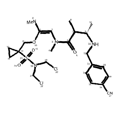 CN/C(=C/N(C)C(=O)C(C)[C@H](C)NCc1ccc(C#N)cc1)OCC1(S(=O)(=O)N(CCl)CCl)CC1